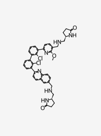 COc1nc(-c2cccc(-c3cccc(-c4ccc5cc(CNC[C@H]6CCC(=O)N6)ccc5n4)c3Cl)c2Cl)ccc1CNC[C@H]1CCC(=O)N1